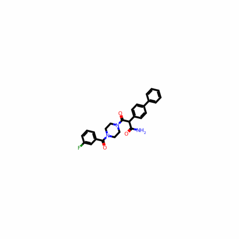 NC(=O)C(C(=O)N1CCN(C(=O)c2cccc(F)c2)CC1)c1ccc(-c2ccccc2)cc1